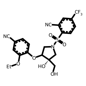 CCOc1cc(C#N)ccc1OC1CN(S(=O)(=O)c2ccc(C(F)(F)F)cc2C#N)C[C@@]1(O)CO